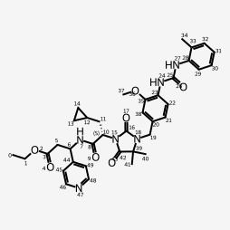 CCOC(=O)CC(NC(=O)[C@H](CC1CC1)N1C(=O)N(Cc2ccc(NC(=O)Nc3ccccc3C)c(OC)c2)C(C)(C)C1=O)c1ccncc1